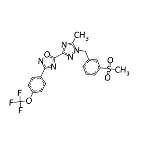 Cc1nc(-c2nc(-c3ccc(OC(F)(F)F)cc3)no2)nn1Cc1cccc(S(C)(=O)=O)c1